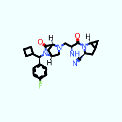 N#C[C@@H]1CC2C[C@@H]2N1C(=O)[C@@H](N)CN1C[C@@H]2C[C@H]1C(=O)N2[C@@H](c1ccc(F)cc1)C1CCC1